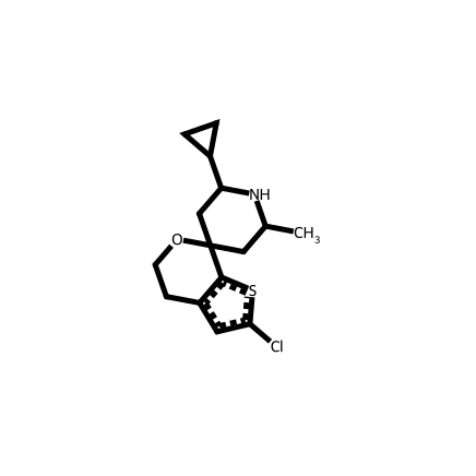 CC1CC2(CC(C3CC3)N1)OCCc1cc(Cl)sc12